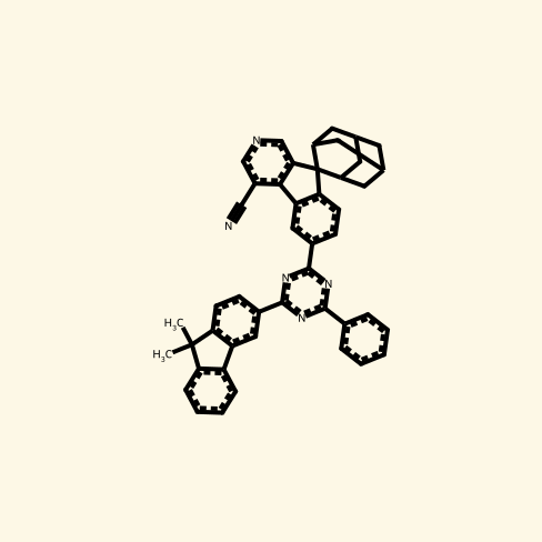 CC1(C)c2ccccc2-c2cc(-c3nc(-c4ccccc4)nc(-c4ccc5c(c4)-c4c(C#N)cncc4C54C5CC6CC(C5)CC4C6)n3)ccc21